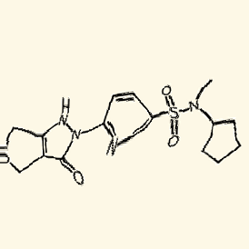 CN(C1CCCC1)S(=O)(=O)c1ccc(-n2[nH]c3c(c2=O)CSC3)nc1